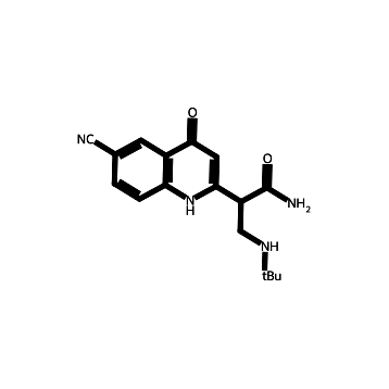 CC(C)(C)NCC(C(N)=O)c1cc(=O)c2cc(C#N)ccc2[nH]1